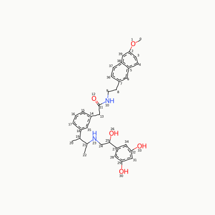 COc1ccc2cc(CCNC(=O)Cc3cccc(C(C)C(C)NCC(O)c4cc(O)cc(O)c4)c3)ccc2c1